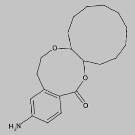 Nc1ccc2c(c1)CCOC1CCCCCCCCCC1OC2=O